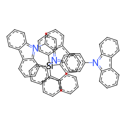 c1ccc(-c2ccccc2-n2c3ccc(-n4c5ccccc5c5ccccc54)cc3c3cccc(-n4c5ccccc5c5cccc([Si](c6ccccc6)(c6ccccc6)c6ccccc6)c54)c32)cc1